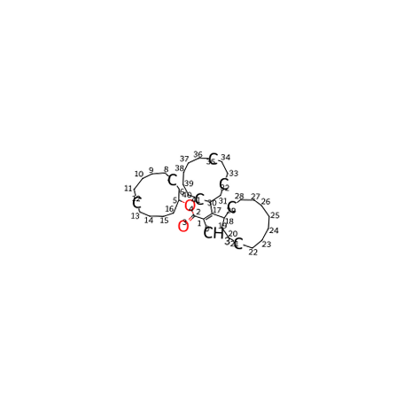 CC(C(=O)OC1CCCCCCCCCCC1)=C(C1CCCCCCCCCCC1)C1CCCCCCCCCCC1